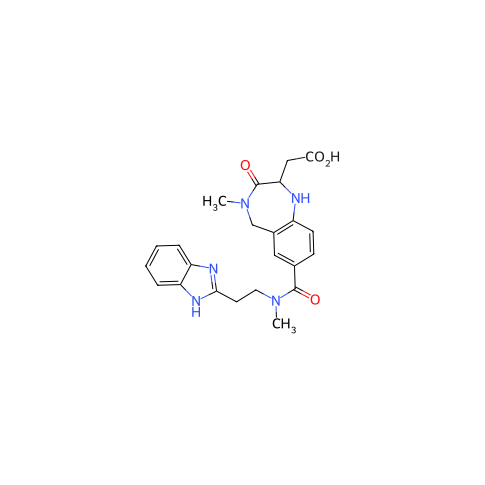 CN(CCc1nc2ccccc2[nH]1)C(=O)c1ccc2c(c1)CN(C)C(=O)C(CC(=O)O)N2